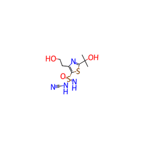 CC(C)(O)c1nc(CCO)c(S(=N)(=O)NC#N)s1